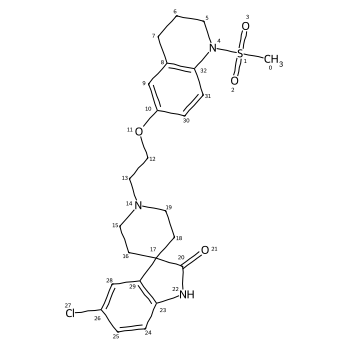 CS(=O)(=O)N1CCCc2cc(OCCN3CCC4(CC3)C(=O)Nc3ccc(Cl)cc34)ccc21